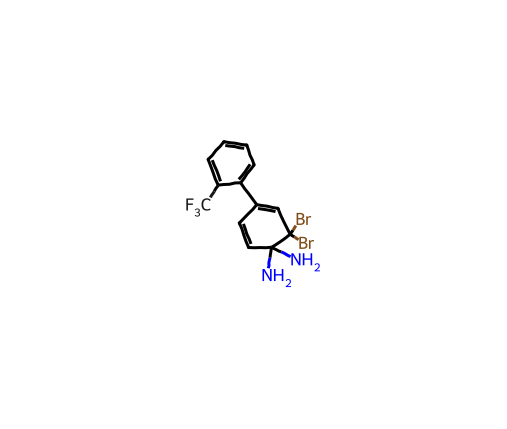 NC1(N)C=CC(c2ccccc2C(F)(F)F)=CC1(Br)Br